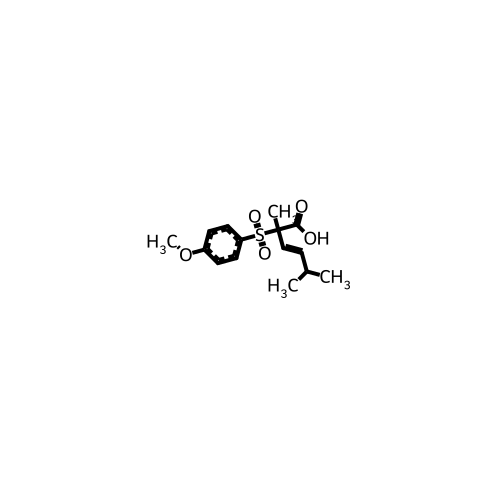 COc1ccc(S(=O)(=O)C(C)(C=CC(C)C)C(=O)O)cc1